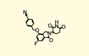 N#Cc1ccc(COc2cc(F)cc3c2CN([C@H]2CCC(=O)NC2=O)C3=O)cc1